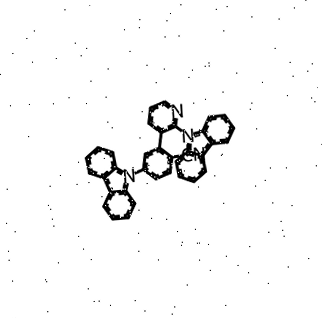 N#Cc1ccc(-n2c3ccccc3c3ccccc32)cc1-c1cccnc1-n1c2ccccc2c2ccccc21